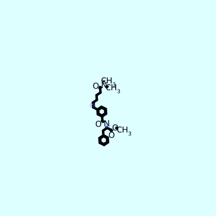 COC(=O)/C(Cc1ccccc1)=N/C(=O)c1cccc(/C=C\CCCC(=O)N(C)C)c1